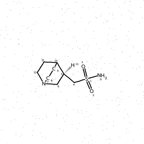 NS(=O)(=O)C[C@H]1CN2CCC1CC2